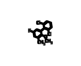 COc1c(C)cc(F)cc1-c1c(Cl)cccc1Cl